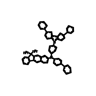 CCCC1(CCC)c2ccccc2-c2cc3ccc(N(c4ccc(-c5ccccc5)cc4)c4ccc(-n5c6ccc(-c7ccccc7)cc6c6cc(-c7ccccc7)ccc65)cc4)cc3cc21